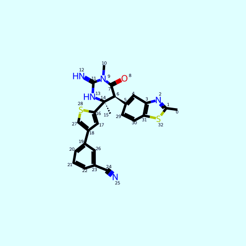 Cc1nc2cc([C@@H]3C(=O)N(C)C(=N)N[C@]3(C)c3cc(-c4cccc(C#N)c4)cs3)ccc2s1